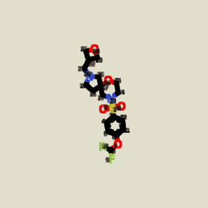 O=S(=O)(c1ccc(OC(F)F)cc1)N1CCOC2(CCN(CC3COC3)C2)C1